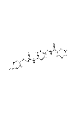 O=C(NCc1ccc(Cl)cc1)Nc1ccc(CNC(=O)C2CCCCC2)cc1